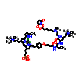 CCC(NC(=O)CCCOc1ccc(/C=C/C2CC(CCCS(=O)(=O)O)C3=Cc4c(CCC[N+](C)(C)C)cc(-c5ccc(C)[nH]5)n4[B-](F)(F)[NH+]32)cc1)C(=O)NC(CCCC[N+](C)(C)C)C(=O)NCCN(C)CCCCCC(=O)ON1C(=O)CCC1=O